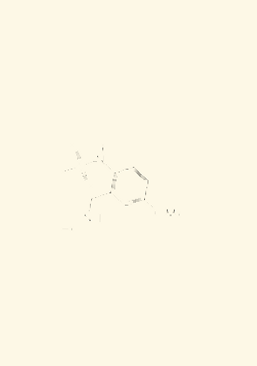 CCN(c1ccc(OC)cc1CN)S(C)(=O)=O.Cl